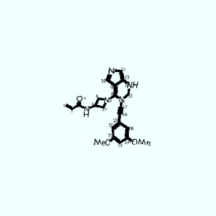 C=CC(=O)NC1CN(C2=C3C=NC=C3NCN2C#Cc2cc(OC)cc(OC)c2)C1